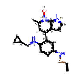 CCSNc1ccc(NCC2CC2)c(-c2cc(C)[n+]([O-])c3[nH]ccc23)c1